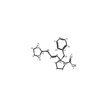 O=C(O)N1CCC[C@@]1(C=CCC1OCCO1)Cc1ccccc1